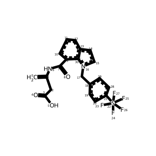 C=C(CC(=O)O)NC(=O)c1cccc2ccn(Cc3ccc(S(F)(F)(F)(F)F)cc3)c12